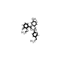 CCc1ccc(NC[C@@H]2CC[C@H](C)CN2C(=O)c2cccc(F)c2OC)nc1